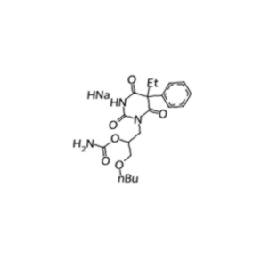 CCCCOCC(CN1C(=O)NC(=O)C(CC)(c2ccccc2)C1=O)OC(N)=O.[NaH]